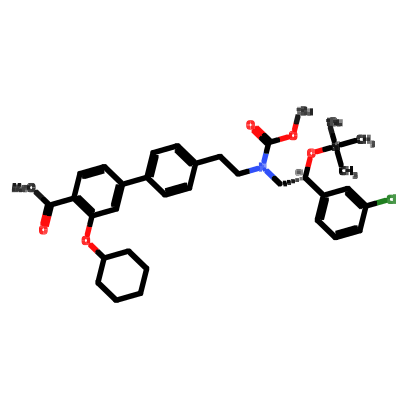 COC(=O)c1ccc(-c2ccc(CCN(C[C@H](O[Si](C)(C)C(C)(C)C)c3cccc(Cl)c3)C(=O)OC(C)(C)C)cc2)cc1OC1CCCCC1